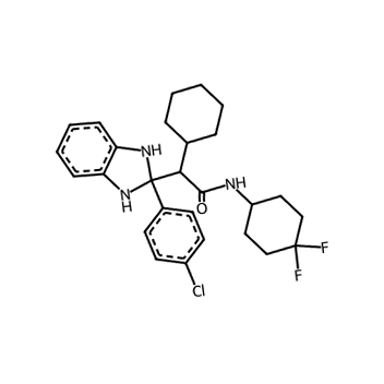 O=C(NC1CCC(F)(F)CC1)C(C1CCCCC1)C1(c2ccc(Cl)cc2)Nc2ccccc2N1